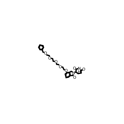 O=C1CCC(N2Cc3c(OCCOCCOCCOCCOCc4ccccc4)cccc3C2=O)C(=O)N1